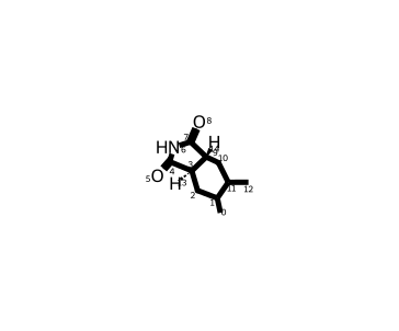 CC1C[C@H]2C(=O)NC(=O)[C@@H]2CC1C